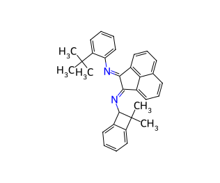 CC(C)(C)c1ccccc1/N=C1/C(=N/C2c3ccccc3C2(C)C)c2cccc3cccc1c23